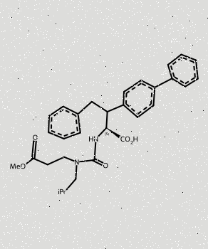 COC(=O)CCN(CC(C)C)C(=O)N[C@H](C(=O)O)C(Cc1ccccc1)c1ccc(-c2ccccc2)cc1